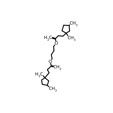 C=C(CCC1(C)CCC(C)C1)OCCCCOC(=C)CCC1(C)CCC(C)C1